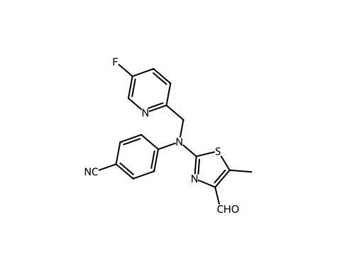 Cc1sc(N(Cc2ccc(F)cn2)c2ccc(C#N)cc2)nc1C=O